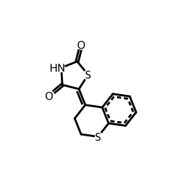 O=C1NC(=O)C(=C2CCSc3ccccc32)S1